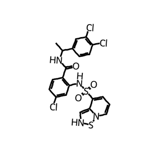 CC(NC(=O)c1ccc(Cl)cc1NS(=O)(=O)C1=CC=CN2SNC=C12)c1ccc(Cl)c(Cl)c1